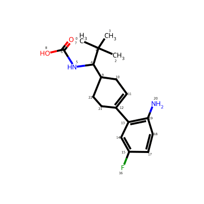 CC(C)(C)C(NC(=O)O)C1CC=C(c2cc(F)ccc2N)CC1